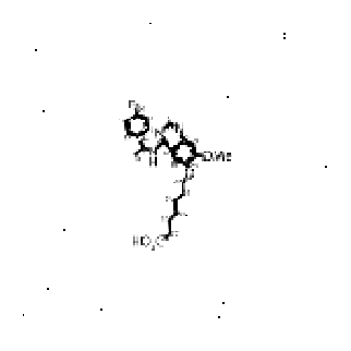 COc1cc2ncnc(NC(C)c3ccc(F)cc3)c2cc1OCCCCCCC(=O)O